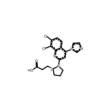 O=C(O)CC[C@@H]1CCCN1c1cc(-n2ccnc2)c2ccc(Cl)c(Cl)c2n1